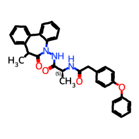 CC1C(=O)N(NC(=O)[C@H](C)NC(=O)Cc2ccc(Oc3ccccc3)cc2)c2ccccc2-c2ccccc21